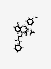 COc1ccc([C@H]2Sc3c(Cl)cccc3N(CCN(C)Cc3ccccc3)C(=O)[C@H]2OC(C)=O)cc1